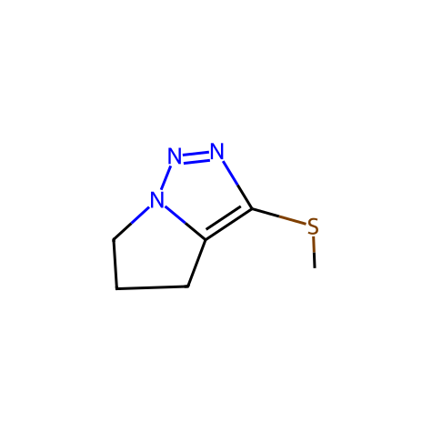 CSc1nnn2c1CCC2